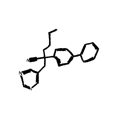 CCCCC(C#N)(Cc1cncnc1)c1ccc(-c2ccccc2)cc1